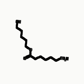 O=C(O)CCCCCC(=O)OCCCCCO